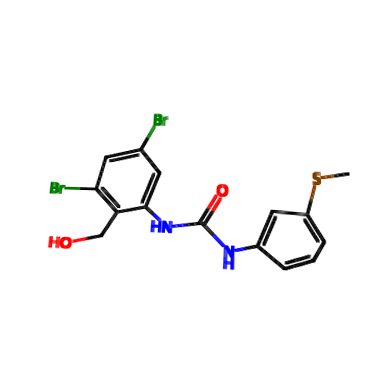 CSc1cccc(NC(=O)Nc2cc(Br)cc(Br)c2CO)c1